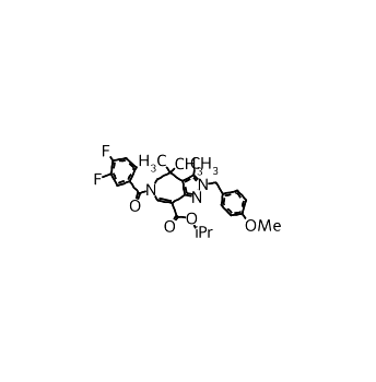 COc1ccc(Cn2nc3c(c2C)C(C)(C)CN(C(=O)c2ccc(F)c(F)c2)C=C3C(=O)OC(C)C)cc1